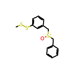 CSSc1cccc(C[S+]([O-])Cc2ccccc2)c1